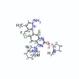 Cc1cc(N)nc(-c2c(Cl)cc3c(N4C[C@@H]5CCC[C@@H](C4)N5)nc(OC[C@@H]4CCCN4C)nc3c2F)c1C(F)(F)F